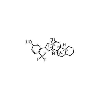 C[C@]12CC[C@@H]3[C@@H](CCC4CCCC[C@@]43C)[C@@H]1CC(c1cc(O)ccc1C(F)(F)F)C2